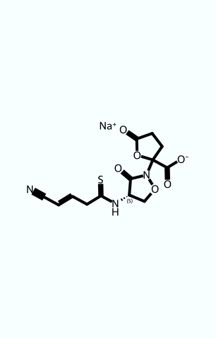 N#CC=CCC(=S)N[C@H]1CON(C2(C(=O)[O-])CCC(=O)O2)C1=O.[Na+]